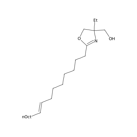 CCCCCCCC/C=C/CCCCCCCC1=NC(CC)(CO)CO1